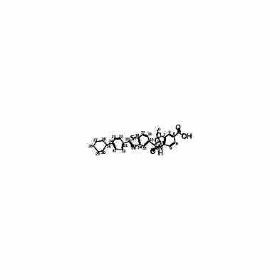 COc1cc(C(=O)O)ccc1NS(=O)(=O)c1ccc2sc(-c3ccc(C4CCCCC4)cc3)nc2c1